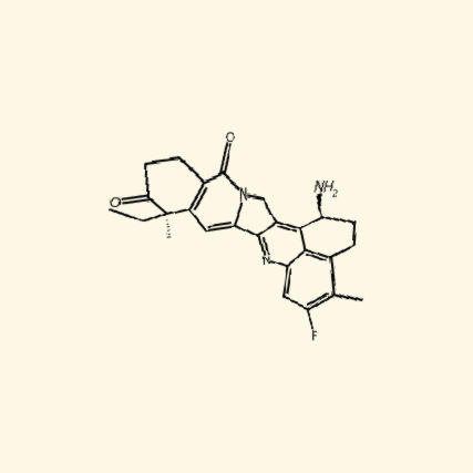 CC[C@@]1(C)C(=O)CCc2c1cc1n(c2=O)Cc2c-1nc1cc(F)c(C)c3c1c2[C@@H](N)CC3